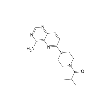 CC(C)C(=O)N1CCN(c2ccc3ncnc(N)c3n2)CC1